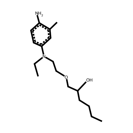 CCCCC(O)COCCN(CC)c1ccc(N)c(C)c1